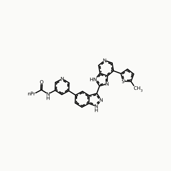 CCCC(=O)Nc1cncc(-c2ccc3[nH]nc(-c4nc5c(-c6ccc(C)s6)cncc5[nH]4)c3c2)c1